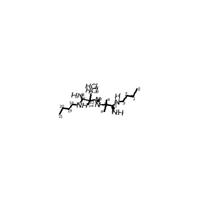 CCCCNC(=N)C(C)(C)N=NC(C)(C)C(=N)NCCCC.Cl.Cl